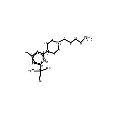 Cc1cc(N2CCN(CCCCN)CC2)nc(C(F)(F)F)n1